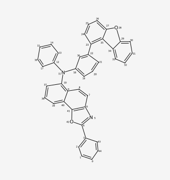 c1ccc(-c2nc3ccc4c(N(c5ccccc5)c5cccc(-c6cccc7oc8ccccc8c67)c5)cccc4c3o2)cc1